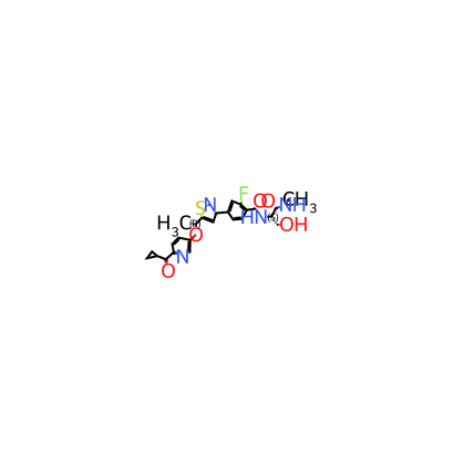 CNC(=O)[C@H](CO)NC(=O)c1ccc(-c2cc([C@@H](C)Oc3ccc(C(=O)C4CC4)nc3)sn2)cc1F